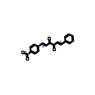 O=C(/C=C/c1ccccc1)C(=O)/C=C/c1ccc([N+](=O)[O-])cc1